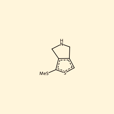 CSc1scc2c1CNC2